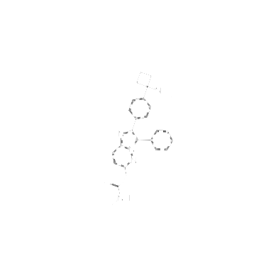 CNC(=O)Oc1ccc2nc(-c3ccc(C4(N)CCC4)cc3)c(-c3ccccc3)n2n1